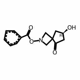 O=C(ON1CC2(C[C@@H](O)CC2=O)C1)c1ccccc1